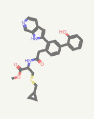 COC(=O)C(CSCC1CC1)NC(=O)Cc1ccc(-c2ccccc2O)cc1-c1cc2ccncc2[nH]1